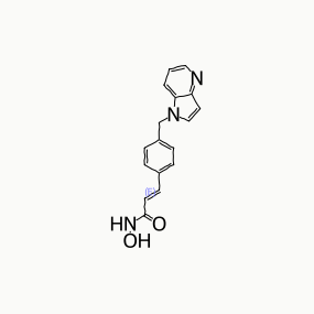 O=C(/C=C/c1ccc(Cn2ccc3ncccc32)cc1)NO